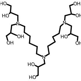 OCC(O)CN(CCCCCCN(CC(O)CO)CC(O)CO)CCCCCCN(CC(O)CO)CC(O)CO